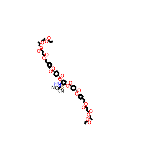 C=CC(=O)OC(C)COC(=O)CCC(=O)OCCc1ccc(OC(=O)[C@H]2CC[C@H](C(=O)Oc3ccc(OC(=O)[C@H]4CC[C@H](C(=O)Oc5ccc(CCOC(=O)CCC(=O)OCC(C)OCC(C)OC(=O)C=C)cc5)CC4)c4c3SC(=C(C#N)C#N)N4)CC2)cc1